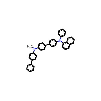 CN(c1ccc(-c2ccccc2)cc1)c1ccc(-c2ccc(N(c3ccccc3)c3cccc4ccccc34)cc2)cc1